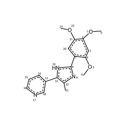 COc1cc(OC)c(-c2nc(C)c(-c3cccnc3)[nH]2)cc1OC